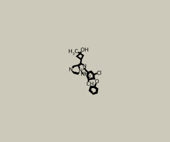 Cc1cc(C2=NC(C3CC(C)(O)C3)=C3C=NC=C[N+]23N)cc(Cl)c1Oc1ccccc1